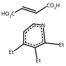 CCc1ccnc(CC)c1CC.O=C(O)C=CC(=O)O